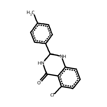 Cc1ccc(C2NC(=O)c3c(Cl)cccc3N2)cc1